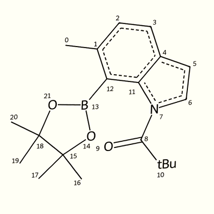 Cc1ccc2ccn(C(=O)C(C)(C)C)c2c1B1OC(C)(C)C(C)(C)O1